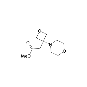 COC(=O)CC1(N2CCOCC2)COC1